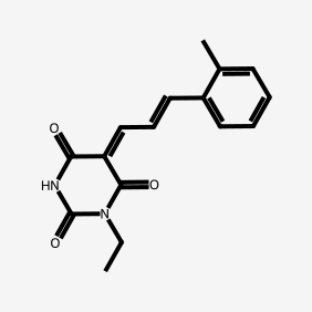 CCN1C(=O)NC(=O)/C(=C/C=C/c2ccccc2C)C1=O